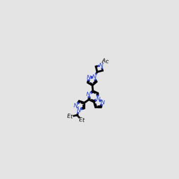 CCC(CC)n1cc(-c2nc(-c3cnn(C4CN(C(C)=O)C4)c3)cn3nccc23)cn1